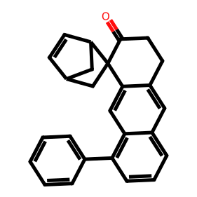 O=C1CCc2cc3cccc(-c4ccccc4)c3cc2C12CC1C=CC2C1